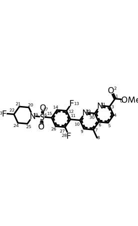 COC(=O)c1ccc2c(C)cc(-c3c(F)cc(S(=O)(=O)N4CCC(F)CC4)cc3F)nc2n1